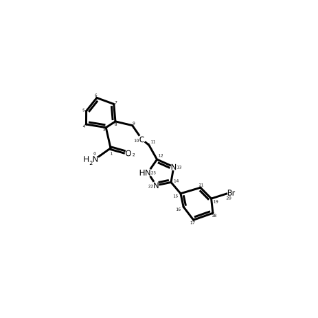 NC(=O)c1ccccc1CC[CH]c1nc(-c2cccc(Br)c2)n[nH]1